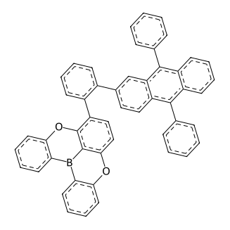 c1ccc(-c2c3ccccc3c(-c3ccccc3)c3cc(-c4ccccc4-c4ccc5c6c4Oc4ccccc4B6c4ccccc4O5)ccc23)cc1